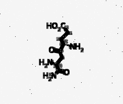 NC(=O)[C@@H](N)CC(=O)[C@@H](N)CCC(=O)O